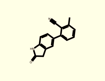 Cc1cccc(-c2ccc3c(c2)CC(=O)N3)c1C#N